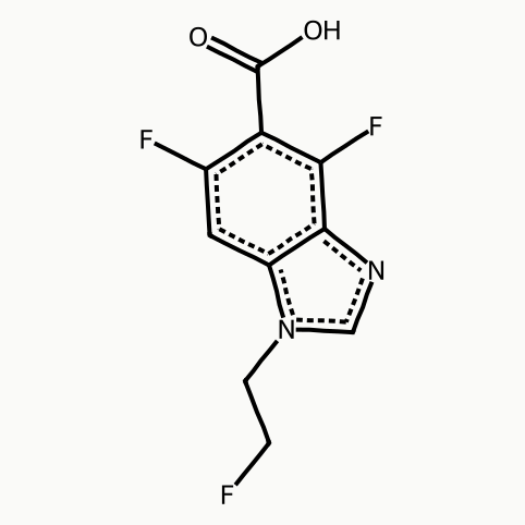 O=C(O)c1c(F)cc2c(ncn2CCF)c1F